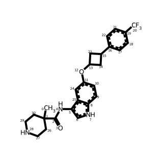 CC1(C(=O)Nc2c[nH]c3ccc(OC4CC(c5ccc(C(F)(F)F)cc5)C4)cc23)CCNCC1